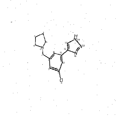 Clc1cc(CN2CCCC2)cc(-c2c[nH]nn2)c1